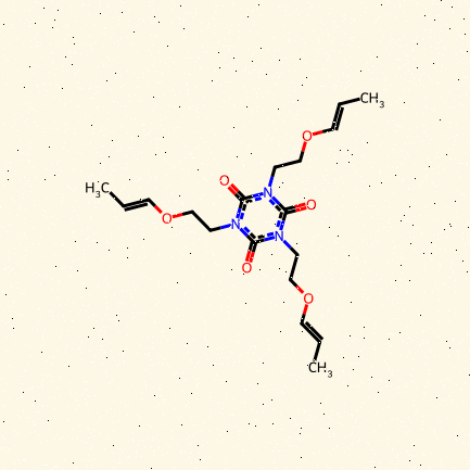 CC=COCCn1c(=O)n(CCOC=CC)c(=O)n(CCOC=CC)c1=O